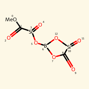 COC(=O)[Si](=O)OB1OC(=O)[Si](=O)O1